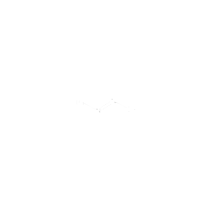 [Ba][N]=[N][Ba]